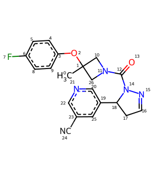 CC1(Oc2ccc(F)cc2)CN(C(=O)N2N=CCC2c2cncc(C#N)c2)C1